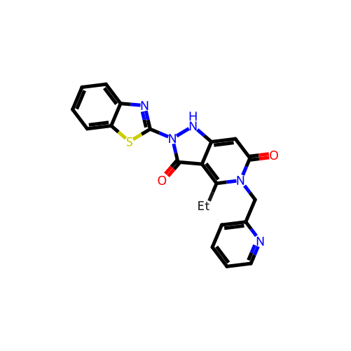 CCc1c2c(=O)n(-c3nc4ccccc4s3)[nH]c2cc(=O)n1Cc1ccccn1